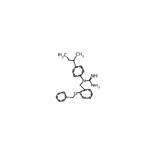 CCC(C)c1ccc(N(Cc2ccccc2OCc2ccccc2)C(=N)N)cc1